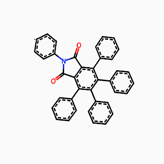 O=C1c2c(c(-c3ccccc3)c(-c3ccccc3)c(-c3ccccc3)c2-c2ccccc2)C(=O)N1c1cc[c]cc1